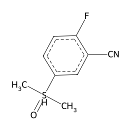 C[SH](C)(=O)c1ccc(F)c(C#N)c1